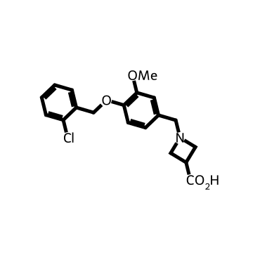 COc1cc(CN2CC(C(=O)O)C2)ccc1OCc1ccccc1Cl